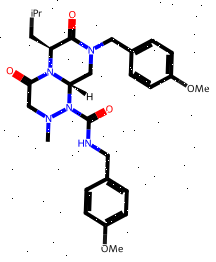 COc1ccc(CNC(=O)N2[C@H]3CN(Cc4ccc(OC)cc4)C(=O)[C@H](CC(C)C)N3C(=O)CN2C)cc1